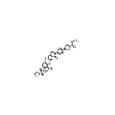 CC(C)(C)OC(=O)N1CCN(c2ncc(-n3cnc4ccc(Oc5c(F)ccc(NS(=O)(=O)C6CCCC6)c5C#N)cc4c3=O)cn2)CC1